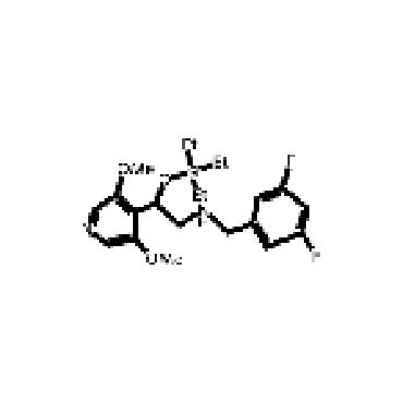 CC[Si](CC)(CC)OC(CNCc1cc(F)cc(F)c1)c1c(OC)cncc1OC